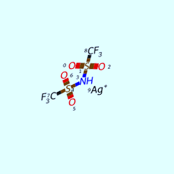 O=S(=O)(NS(=O)(=O)C(F)(F)F)C(F)(F)F.[Ag+]